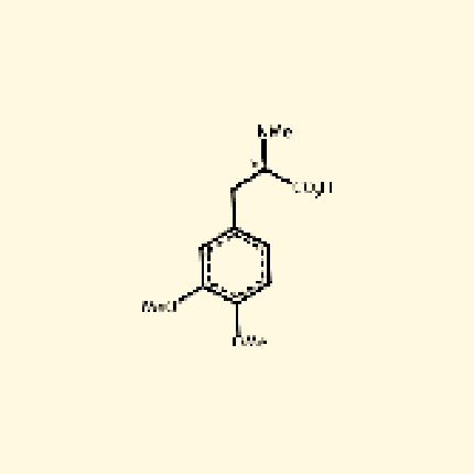 CN[C@H](Cc1ccc(OC)c(OC)c1)C(=O)O